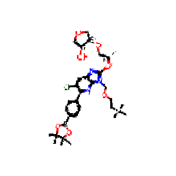 C[C@@H](CO[C@H]1COC[C@H]1O)Oc1nc2cc(Cl)c(-c3ccc(B4OC(C)(C)C(C)(C)O4)cc3)nc2n1COCC[Si](C)(C)C